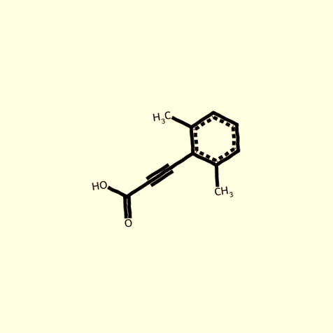 Cc1cccc(C)c1C#CC(=O)O